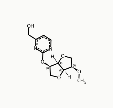 CO[C@@H]1CO[C@H]2[C@@H]1OC[C@H]2Oc1nccc(CO)n1